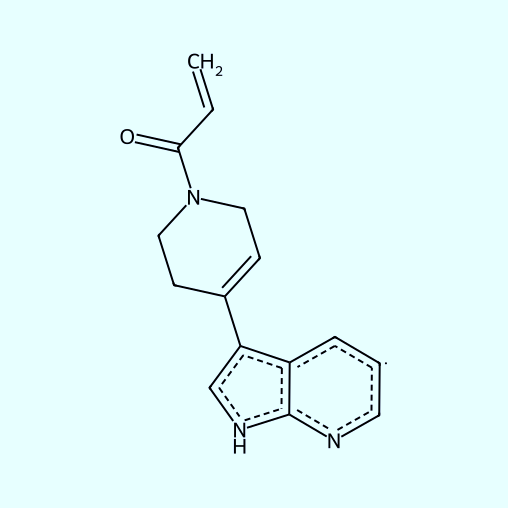 C=CC(=O)N1CC=C(c2c[nH]c3nc[c]cc23)CC1